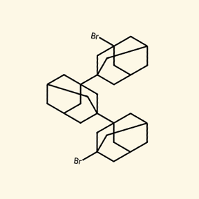 BrC12CC3CC(C1)CC(C14CC5CC(C1)CC(C16CC7CC(CC(Br)(C7)C1)C6)(C5)C4)(C3)C2